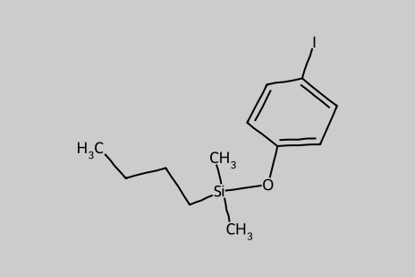 CCCC[Si](C)(C)Oc1ccc(I)cc1